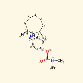 CC[C@@]12CCCCC[C@@H](Cc3ccc(OC(=O)N(C)C(C)C)cc31)[C@@H]2N